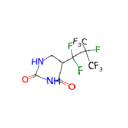 O=C1NCC(C(F)(F)C(F)(C(F)(F)F)C(F)(F)F)C(=O)N1